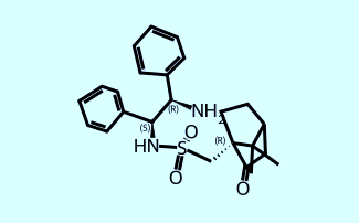 CC1(C)C2CC[C@]1(CS(=O)(=O)N[C@@H](c1ccccc1)[C@H](N)c1ccccc1)C(=O)C2